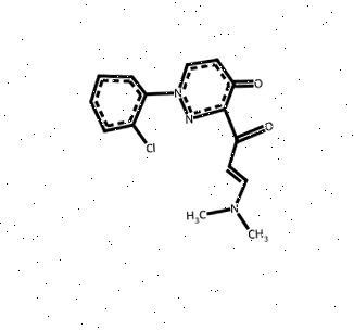 CN(C)/C=C/C(=O)c1nn(-c2ccccc2Cl)ccc1=O